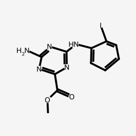 COC(=O)c1nc(N)nc(Nc2ccccc2I)n1